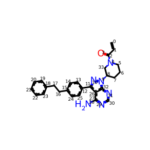 C=CC(=O)N1CCC[C@@H](n2nc(-c3ccc(CCc4ccccc4)cc3)c3c(N)ncnc32)C1